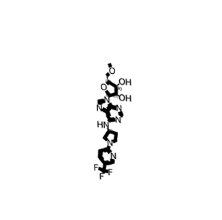 COC[C@H]1O[C@@H](n2cnc3c(N[C@H]4CCN(c5ccc(C(F)(F)F)cn5)C4)ncnc32)[C@@H](O)[C@H]1O